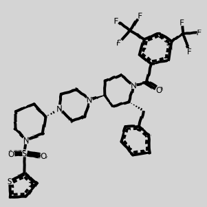 O=C(c1cc(C(F)(F)F)cc(C(F)(F)F)c1)N1CC[C@H](N2CCN([C@H]3CCCN(S(=O)(=O)c4cccs4)C3)CC2)C[C@H]1Cc1ccccc1